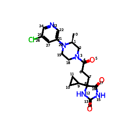 C[C@H]1CN(C(=O)CCC2(C3CC3)NC(=O)NC2=O)CCN1c1cncc(Cl)c1